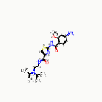 COc1cc(N)ccc1C(=O)Nc1nc(C(=O)NCCN(C(C)C)C(C)C)cs1